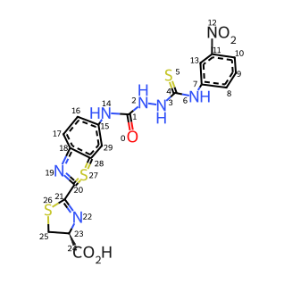 O=C(NNC(=S)Nc1cccc([N+](=O)[O-])c1)Nc1ccc2nc(C3=N[C@@H](C(=O)O)CS3)sc2c1